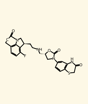 O=C1CSc2ccc(N3C[C@H](CNCC[C@@H]4CN5C(=O)CCc6ccc(F)c4c65)OC3=O)cc2N1